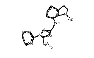 CC(=O)N1CCc2cccc(Nc3nc(N)n(-c4ccccn4)n3)c21